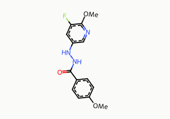 COc1ccc(C(=O)NNc2cnc(OC)c(F)c2)cc1